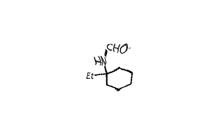 CCC1(N[C]=O)CCCCC1